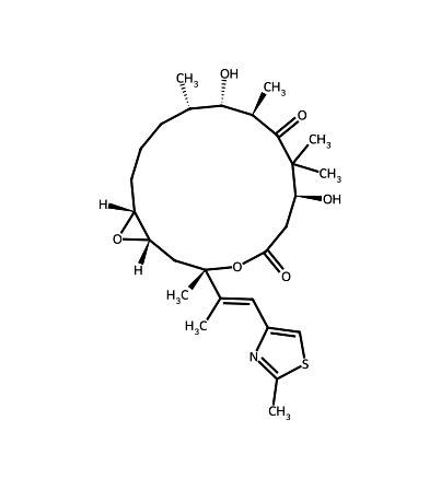 CC(=Cc1csc(C)n1)[C@]1(C)C[C@@H]2O[C@@H]2CCC[C@H](C)[C@H](O)[C@@H](C)C(=O)C(C)(C)[C@@H](O)CC(=O)O1